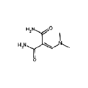 CN(C)C=C(C(N)=O)C(N)=O